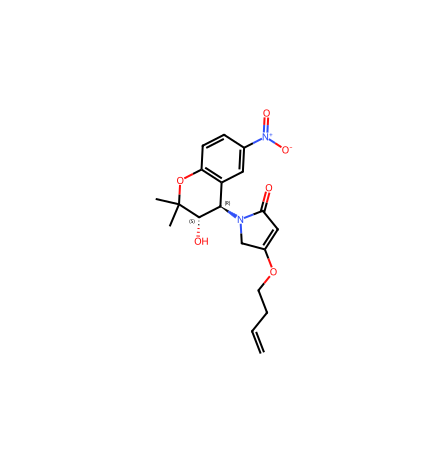 C=CCCOC1=CC(=O)N([C@@H]2c3cc([N+](=O)[O-])ccc3OC(C)(C)[C@H]2O)C1